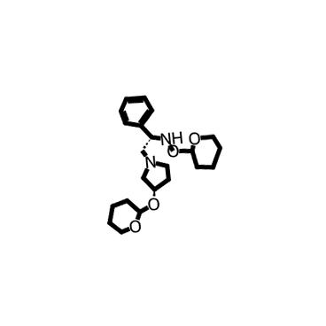 c1ccc([C@@H](CN2CC[C@H](OC3CCCCO3)C2)NOC2CCCCO2)cc1